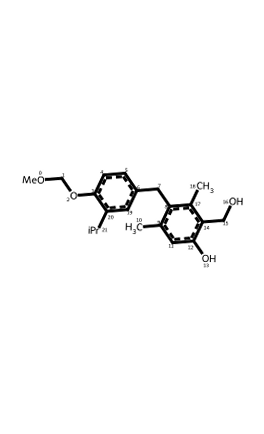 COCOc1ccc(Cc2c(C)cc(O)c(CO)c2C)cc1C(C)C